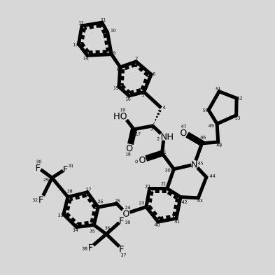 O=C(N[C@@H](Cc1ccc(-c2ccccc2)cc1)C(=O)O)C1c2cc(OCc3cc(C(F)(F)F)ccc3C(F)(F)F)ccc2CCN1C(=O)CC1CCCC1